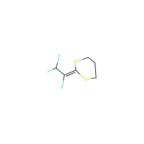 FC(=C1SCCCS1)C(F)F